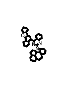 C1=Cc2cccc3c2c2c4c1cccc4ccc2n3-c1nc(-c2cc3c4ccccc4oc3c3ccccc23)c2ccccc2n1